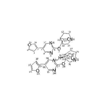 c1cc(-c2cnc(OC3CN4CCC3CC4)nc2)co1.c1coc(-c2cnc(O[C@H]3CN4CCC3CC4)nc2)c1